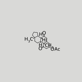 CC(=O)OC1CC(=O)[C@@]2(C)C(=CC(=O)[C@@H]3[C@H]2CC[C@]2(C)CCC[C@@H]32)C1